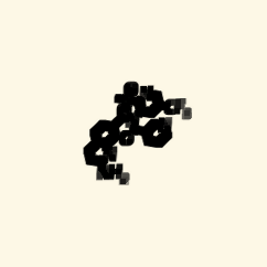 CS(=O)(=O)c1ncc(C(F)(F)F)cc1N(Cc1ccc2ccc(N)nc2c1)C(=O)c1cccnc1